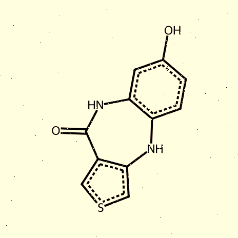 O=C1Nc2cc(O)ccc2Nc2cscc21